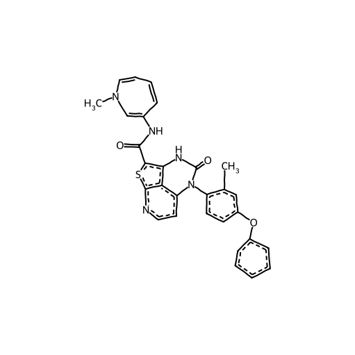 Cc1cc(Oc2ccccc2)ccc1N1C(=O)Nc2c(C(=O)NC3=CN(C)C=CC=C3)sc3nccc1c23